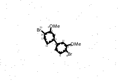 COc1cc(-c2ccc(Br)c(OC)c2)ccc1Br